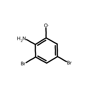 Nc1c([O])cc(Br)cc1Br